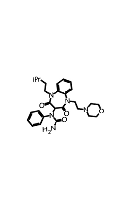 CC(C)CCN1C(=O)C(N(C(N)=O)c2ccccc2)C(=O)N(CCN2CCOCC2)c2ccccc21